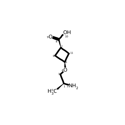 C[C@H](N)CO[C@H]1C[C@@H](C(=O)O)C1